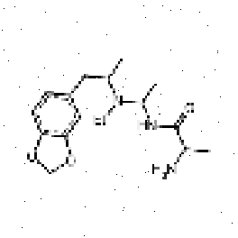 CCN(C(C)Cc1ccc2c(c1)OCO2)C(C)NC(=O)C(C)N